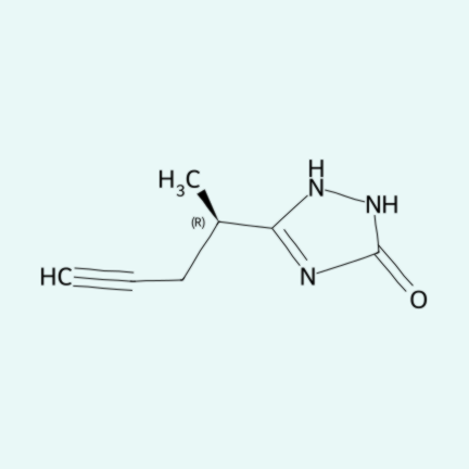 C#CC[C@@H](C)c1nc(=O)[nH][nH]1